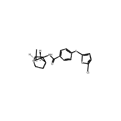 C[C@H]1[C@H](NC(=O)c2ccc(Sc3ccc(Cl)s3)cc2)C2CCN1CC2